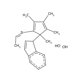 C/[CH]=[Zr]/[C]1=C(C)C(C)=C(C)C1(C)C1C=Cc2ccccc21.Cl.Cl